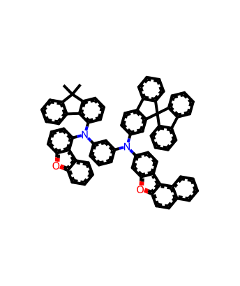 CC1(C)c2ccccc2-c2c(N(c3cccc(N(c4ccc5c(c4)C4(c6ccccc6-c6ccccc64)c4ccccc4-5)c4ccc5c(c4)oc4ccc6ccccc6c45)c3)c3cccc4oc5ccccc5c34)cccc21